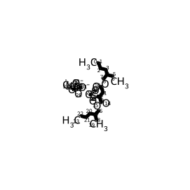 CCCCC(CC)COC(=O)CC(C(=O)OCC(CC)CCCC)S(=O)(=O)[O-].O=P([O-])([O-])[O-].[Cr+3].[Na+]